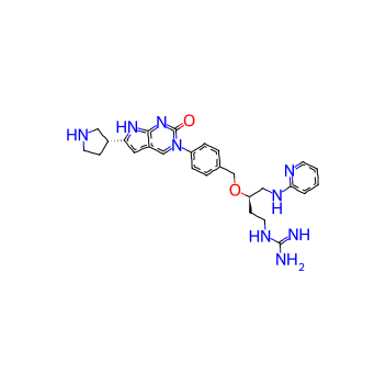 N=C(N)NCC[C@H](CNc1ccccn1)OCc1ccc(-n2cc3cc([C@@H]4CCNC4)[nH]c3nc2=O)cc1